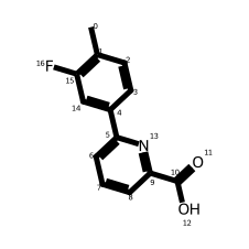 Cc1ccc(-c2cccc(C(=O)O)n2)cc1F